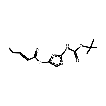 CCC=CC(=O)Oc1csc(NC(=O)OC(C)(C)C)n1